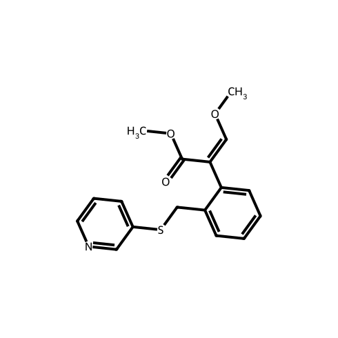 COC=C(C(=O)OC)c1ccccc1CSc1cccnc1